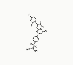 CCCN(CCC)S(=O)(=O)c1ccc(-c2cc(=O)n3nc(C)c(-c4ccc(F)cc4F)cc3n2)cc1